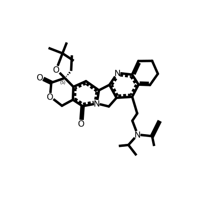 C=C(C)N(CCc1c2c(nc3c1=CCCC=3)-c1cc3c(c(=O)n1C2)COC(=O)[C@@]3(CC)OC(C)(C)C)C(C)C